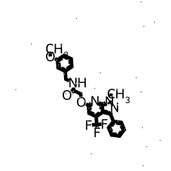 COc1cccc(CNC(=O)COc2cc(C(F)(F)F)c3c(-c4ccccc4)nn(C)c3n2)c1